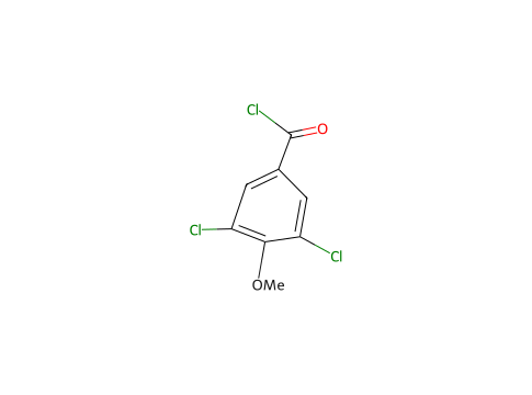 COc1c(Cl)cc(C(=O)Cl)cc1Cl